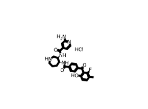 Cc1ccc(O)c(C(=O)c2ccc(C(=O)N[C@@H]3CCCNC[C@H]3NC(=O)c3ccnc(N)c3)cc2)c1F.Cl